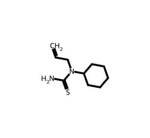 C=CCN(C(N)=S)C1CCCCC1